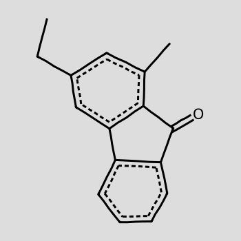 CCc1cc(C)c2c(c1)-c1ccccc1C2=O